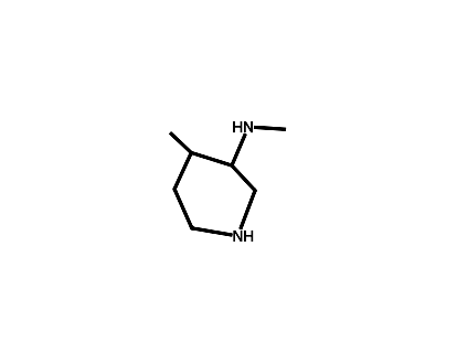 CNC1CNCCC1C